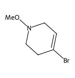 CON1CC=C(Br)CC1